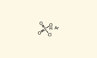 O=S(=O)(O)Cl.[Ar]